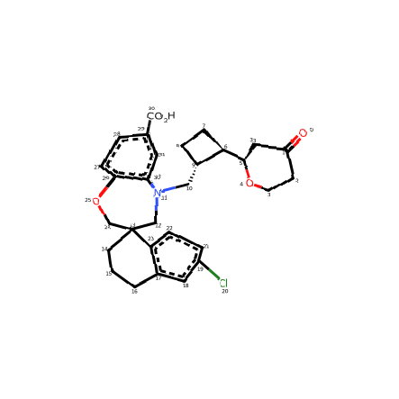 O=C1CCO[C@@H]([C@@H]2CC[C@H]2CN2CC3(CCCc4cc(Cl)ccc43)COc3ccc(C(=O)O)cc32)C1